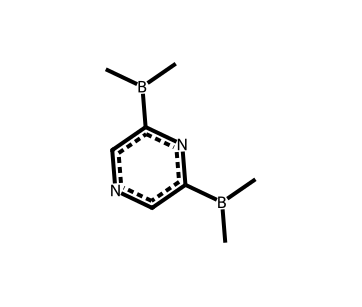 CB(C)c1cncc(B(C)C)n1